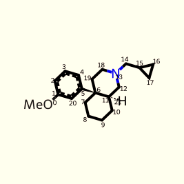 COc1cccc([C@]23CCCC[C@@H]2CN(CC2CC2)CC3)c1